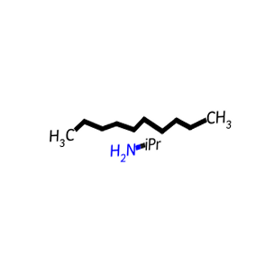 CC(C)N.CCCCCCCCCC